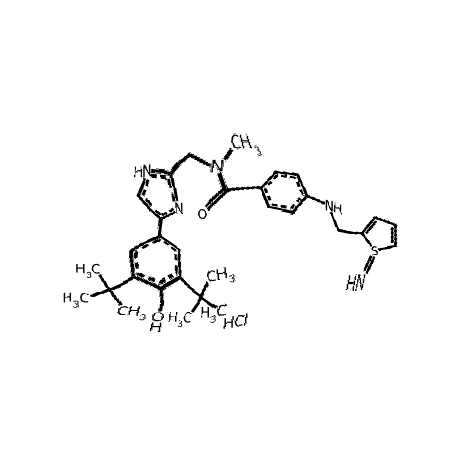 CN(Cc1nc(-c2cc(C(C)(C)C)c(O)c(C(C)(C)C)c2)c[nH]1)C(=O)c1ccc(NCC2=CC=CS2=N)cc1.Cl